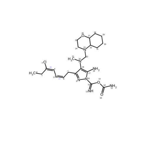 CC/C(Cl)=C\N=C/Cc1nn(C(=N)OC(N)=O)c(N)c1N(C)CN1CCOC2CCCCC21